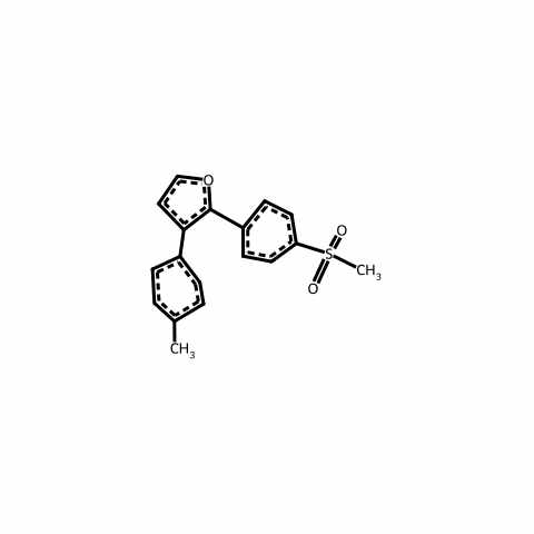 Cc1ccc(-c2ccoc2-c2ccc(S(C)(=O)=O)cc2)cc1